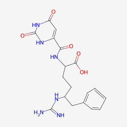 N=C(N)NC(CCC(NC(=O)c1cc(=O)[nH]c(=O)[nH]1)C(=O)O)Cc1ccccc1